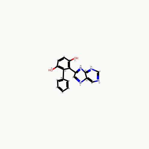 Oc1ccc(O)c(-c2cnc3cncnc3n2)c1-c1ccccc1